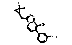 Cc1cccc(-c2ccn3c(CC4CC4(F)F)nnc3c2C)c1